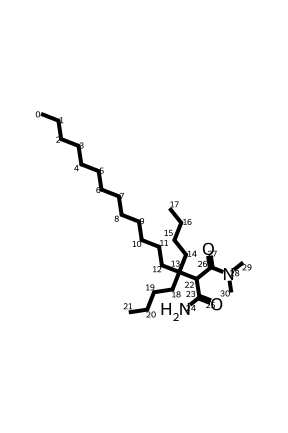 CCCCCCCCCCCCCC(CCCC)(CCCC)C(C(N)=O)C(=O)N(C)C